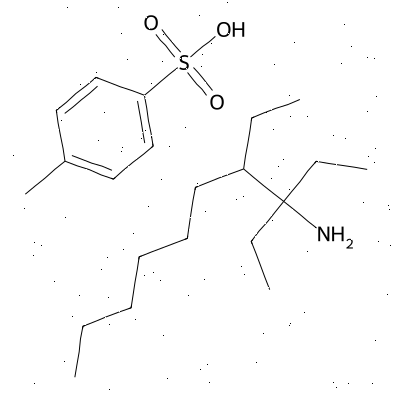 CCCCCCC(CC)C(N)(CC)CC.Cc1ccc(S(=O)(=O)O)cc1